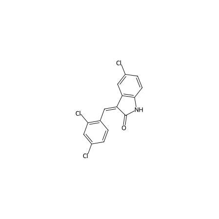 O=C1Nc2ccc(Cl)cc2C1=Cc1ccc(Cl)cc1Cl